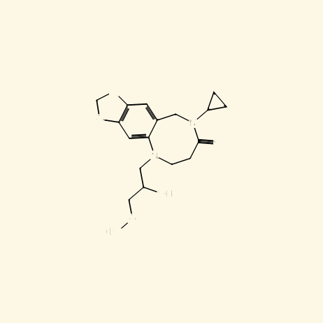 CC(C)(C)OCC(O)CN1CCC(=O)N(C2CC2)Cc2cc3c(cc21)OCO3